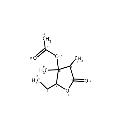 CCC1OC(=O)C(C)C1(C)OC(C)=O